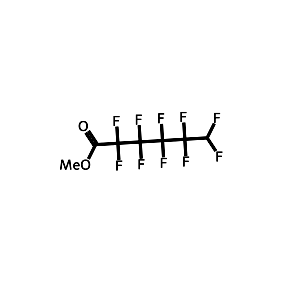 COC(=O)C(F)(F)C(F)(F)C(F)(F)C(F)(F)C(F)F